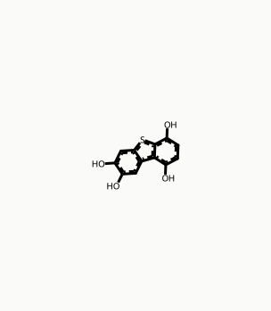 Oc1cc2sc3c(O)ccc(O)c3c2cc1O